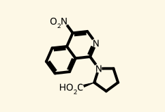 O=C(O)[C@@H]1CCCN1c1ncc([N+](=O)[O-])c2ccccc12